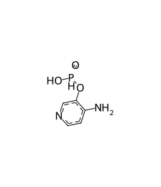 Nc1ccncc1O[PH](=O)O